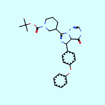 CC(C)(C)OC(=O)N1CCCC(C2=NC(c3ccc(Oc4ccccc4)cc3)C3C(=O)NC=NN23)C1